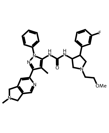 COCCN1CC(NC(=O)Nc2c(C)c(-c3cc4c(cn3)CN(C)C4)nn2-c2ccccc2)C(c2cccc(F)c2)C1